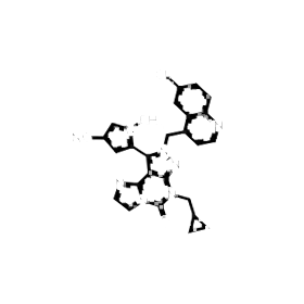 Cn1cc(C#N)cc1-c1c2c(nn1Cc1ccnc3ccc(Cl)cc13)n(CC1CC1)c(=O)n1ccnc21